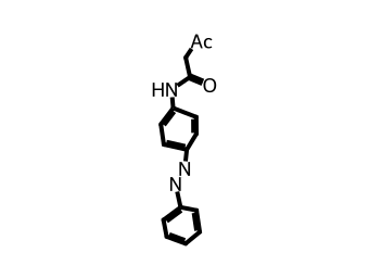 CC(=O)CC(=O)Nc1ccc(N=Nc2ccccc2)cc1